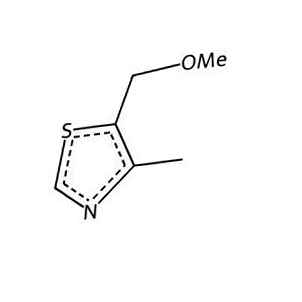 COCc1scnc1C